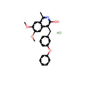 COc1cc2c(C)nc(O)c(Cc3cccc(Oc4ccccc4)c3)c2cc1OC.Cl